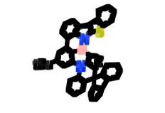 CC(C)(C)c1cc2c3c(c1)N1c4ccccc4C4(c5ccccc5-c5ccccc54)c4cccc(c41)B3n1c3sc4ccccc4c3c3cccc-2c31